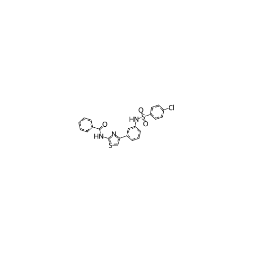 O=C(Nc1nc(-c2cccc(NS(=O)(=O)c3ccc(Cl)cc3)c2)cs1)c1ccccc1